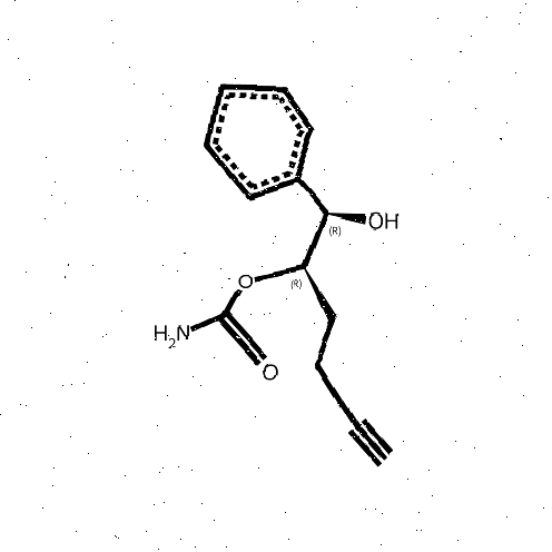 C#CCC[C@@H](OC(N)=O)[C@H](O)c1ccccc1